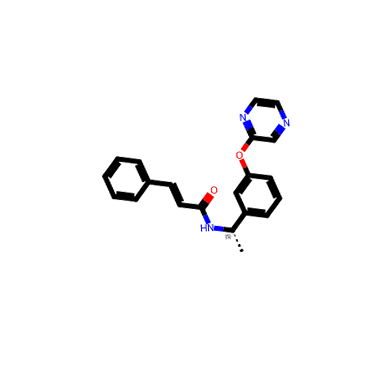 C[C@H](NC(=O)C=Cc1ccccc1)c1cccc(Oc2cnccn2)c1